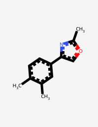 Cc1nc(-c2ccc(C)c(C)c2)co1